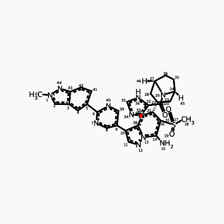 Cn1cc2cc(-c3ncc(-c4cnn5c(N)c(S(C)(=O)=O)c([C@H]6C[C@H]7CC[C@@H](C6)N7C(=O)c6nnc[nH]6)nc45)cn3)ccc2n1